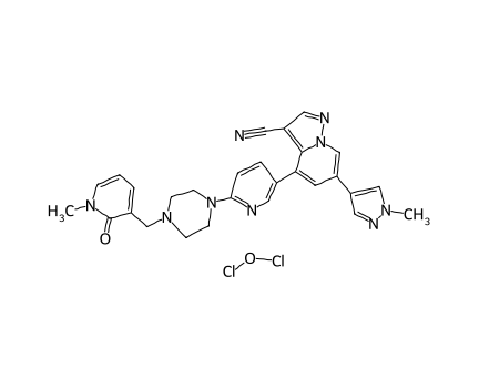 ClOCl.Cn1cc(-c2cc(-c3ccc(N4CCN(Cc5cccn(C)c5=O)CC4)nc3)c3c(C#N)cnn3c2)cn1